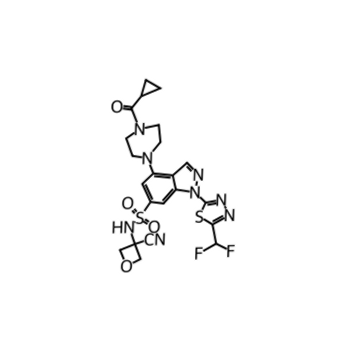 N#CC1(NS(=O)(=O)c2cc(N3CCN(C(=O)C4CC4)CC3)c3cnn(-c4nnc(C(F)F)s4)c3c2)COC1